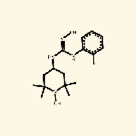 CC1(C)CC(NC(=NC#N)Nc2ccccc2F)CC(C)(C)N1O